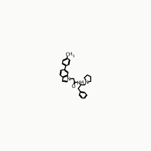 Cc1ccc(-c2ccc3ccn(CC(=O)NC(Cc4ccccc4)CN4CCCC4)c3c2)cc1